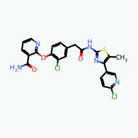 Cc1sc(NC(=O)Cc2ccc(Oc3ncccc3C(N)=O)c(Cl)c2)nc1-c1ccc(Cl)nc1